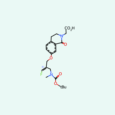 CN(C/C(=C\F)COc1ccc2c(c1)C(=O)N(CC(=O)O)CC2)C(=O)OC(C)(C)C